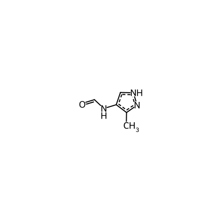 Cc1n[nH]cc1NC=O